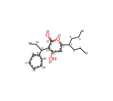 CCCC(CCC)c1cc(O)c(C(CC)c2ccccc2)c(=O)o1